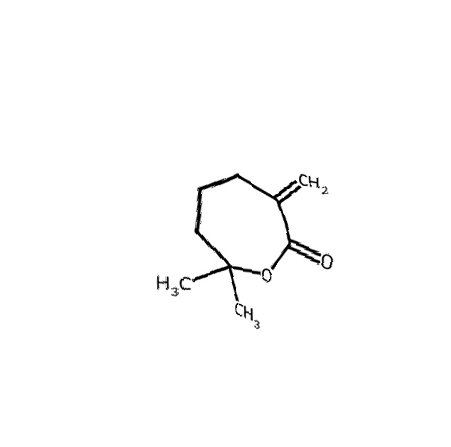 C=C1CCCC(C)(C)OC1=O